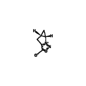 [O-]c1on[n+]2c1C[C@@H]1C[C@@H]12